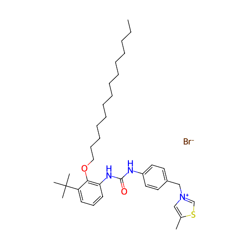 CCCCCCCCCCCCCCOc1c(NC(=O)Nc2ccc(C[n+]3csc(C)c3)cc2)cccc1C(C)(C)C.[Br-]